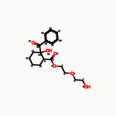 O=C(OCCOCCO)C1CCCCC1(O)C(=O)c1ccccc1